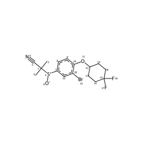 CC(C)(C#N)[S+]([O-])c1ccc(OC2CCC(F)(F)CC2)c(Br)c1